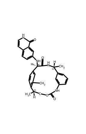 Cc1cc2ccc1[C@@H](C)COC(=O)Nc1cccc(c1)[C@@H](C)NC(=O)[C@@H]2Nc1ccc2cc[nH]c(=O)c2c1